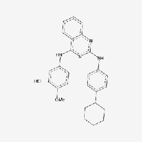 COc1ccc(Nc2nc(Nc3ccc(C4CCCCC4)cc3)nc3ccccc23)cc1.Cl